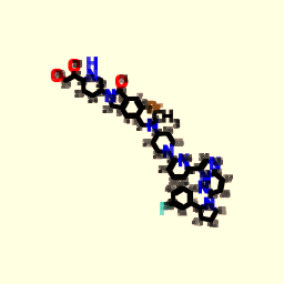 CN(Cc1cc2c(cc1Br)C(=O)N(C1CCC(C(=O)C=O)NC1)C2)C1CCN(c2cccc(-c3cnc4ccc(N5CCCC5c5cccc(F)c5)nn34)n2)CC1